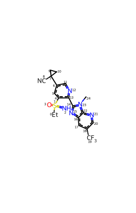 CCS(=N)(=O)c1cc(C2(C#N)CC2)cnc1-c1nc2cc(C(F)(F)F)cnc2n1C